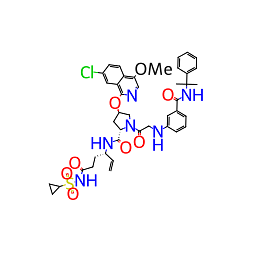 C=C[C@H](CCC(=O)NS(=O)(=O)C1CC1)NC(=O)[C@@H]1C[C@@H](Oc2ncc(OC)c3ccc(Cl)cc23)CN1C(=O)CNc1cccc(C(=O)NC(C)(C)c2ccccc2)c1